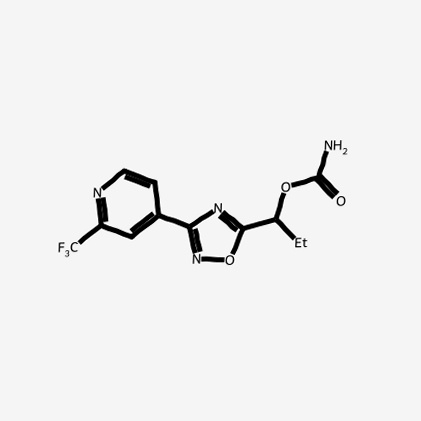 CCC(OC(N)=O)c1nc(-c2ccnc(C(F)(F)F)c2)no1